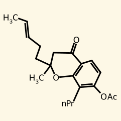 CC=CCCC1(C)CC(=O)c2ccc(OC(C)=O)c(CCC)c2O1